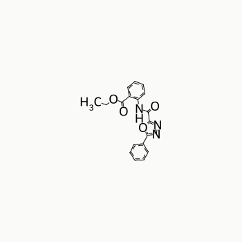 CCOC(=O)c1ccccc1NC(=O)c1nnc(-c2ccccc2)o1